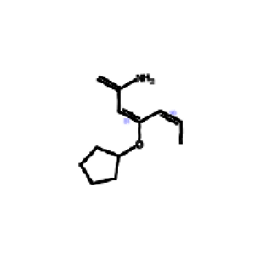 C=C(N)/C=C(\C=C/C)OC1CCCC1